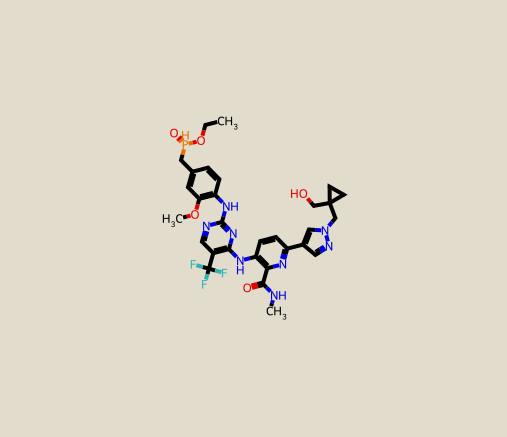 CCO[PH](=O)Cc1ccc(Nc2ncc(C(F)(F)F)c(Nc3ccc(-c4cnn(CC5(CO)CC5)c4)nc3C(=O)NC)n2)c(OC)c1